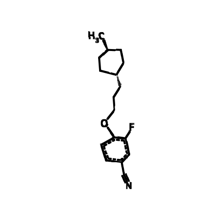 C[C@H]1CC[C@H](CCCOc2ccc(C#N)cc2F)CC1